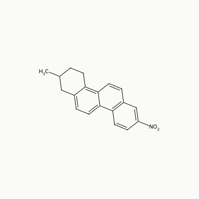 CC1CCc2c(ccc3c2ccc2cc([N+](=O)[O-])ccc23)C1